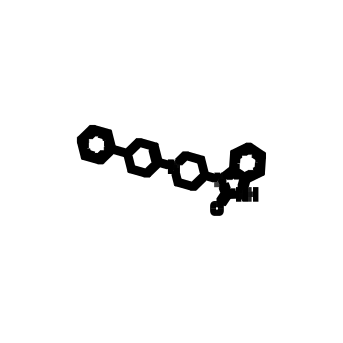 O=c1[nH]c2ccccc2n1C1CCN(C2=CCC(c3ccccc3)CC2)CC1